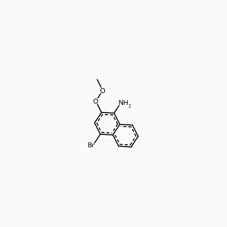 COOc1cc(Br)c2ccccc2c1N